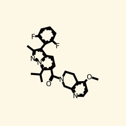 COc1ccnc2c1CCN(C(=O)c1ccc3c(-c4c(F)cccc4F)c(C)nn3c1C(C)C)C2